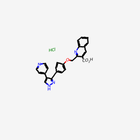 Cl.O=C(O)c1cc2ccccc2nc1COc1ccc(-c2n[nH]cc2-c2ccncc2)cc1